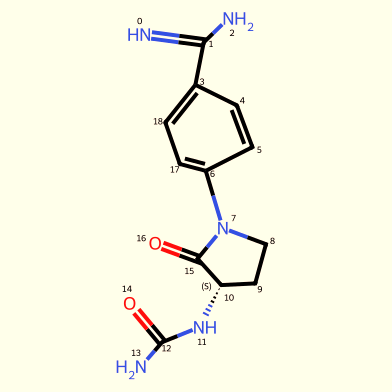 N=C(N)c1ccc(N2CC[C@H](NC(N)=O)C2=O)cc1